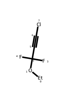 [CH2]COC(F)(F)C#CCl